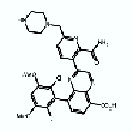 COc1cc(OC)c(Cl)c(-c2ccc(C(=O)O)c3ncc(-c4ccc(CN5CCNCC5)nc4C(N)=O)nc23)c1Cl